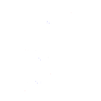 C=C1c2ccc(N3CCCC3COI)cc2C(=O)N1C1CCC(=O)NC1=O